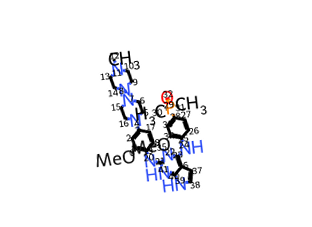 COc1cc(N2CCN(N3CCN(C)CC3)CC2)ccc1Nc1nc(Nc2ccc(P(C)(C)=O)cc2OC)c2cc[nH]c2n1